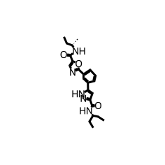 CCC(CC)NC(=O)c1cc(-c2cccc(-c3ncc(C(=O)N[C@@H](C)CC)o3)c2)[nH]n1